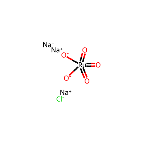 [Cl-].[Na+].[Na+].[Na+].[O]=[Ru](=[O])(=[O])([O-])[O-]